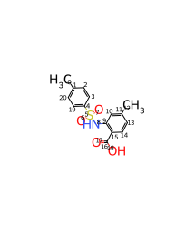 Cc1ccc(S(=O)(=O)Nc2cc(C)ccc2C(=O)O)cc1